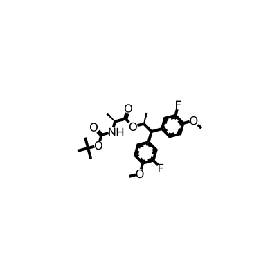 COc1ccc(C(c2ccc(OC)c(F)c2)[C@H](C)OC(=O)[C@H](C)NC(=O)OC(C)(C)C)cc1F